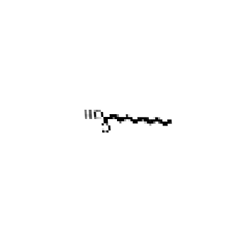 CCCC=CCCC=CC(=O)O